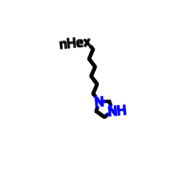 CCCCCCCCCCCCN1CCNC1